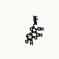 [N-]=[N+]=NC[C@H]1O[C@@H](n2ccc(=O)[nH]c2=O)[C@@H](O)C1O